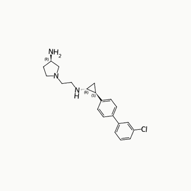 N[C@@H]1CCN(CCN[C@@H]2C[C@H]2c2ccc(-c3cccc(Cl)c3)cc2)C1